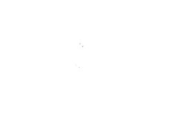 C=N/C=C\C(NC)=C(C)C